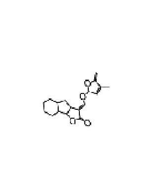 C=C1OC(O/C=C2/C(=O)OC3C2CC2CCCCC23)C=C1C